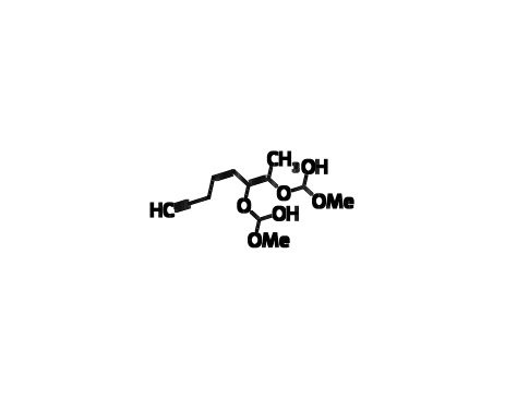 C#CC/C=C\C(OC(O)OC)=C(/C)OC(O)OC